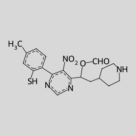 Cc1ccc(-c2ncnc(C(CC3CCNCC3)OC=O)c2[N+](=O)[O-])c(S)c1